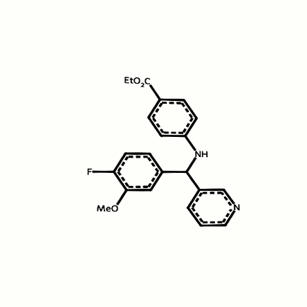 CCOC(=O)c1ccc(NC(c2cccnc2)c2ccc(F)c(OC)c2)cc1